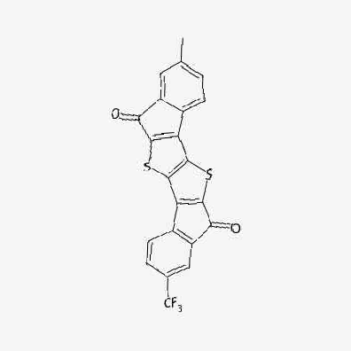 Cc1ccc2c(c1)c(=O)c1sc3c(sc4c(=O)c5cc(C(F)(F)F)ccc5c43)c12